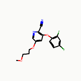 COCCCOc1cnc(C#N)c(Oc2ccc(F)cc2F)c1